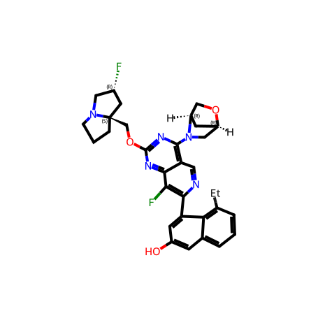 CCc1cccc2cc(O)cc(-c3ncc4c(N5C[C@H]6C[C@@H]5CO6)nc(OC[C@@]56CCCN5C[C@H](F)C6)nc4c3F)c12